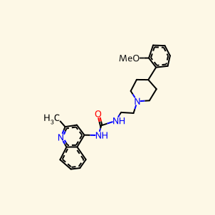 COc1ccccc1C1CCN(CCNC(=O)Nc2cc(C)nc3ccccc23)CC1